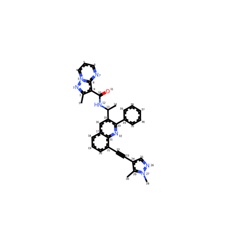 Cc1nn2cccnc2c1C(=O)NC(C)c1cc2cccc(C#Cc3cnn(C)c3C)c2nc1-c1ccccc1